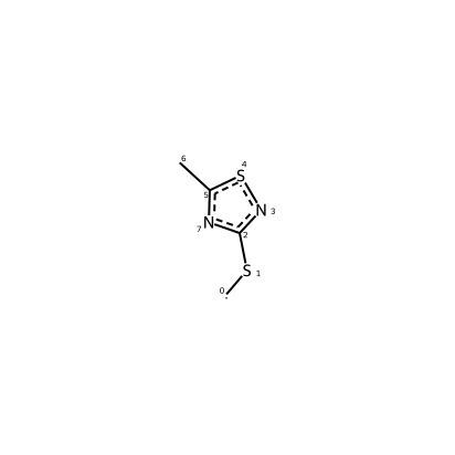 [CH2]Sc1nsc(C)n1